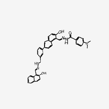 CN(C)c1ccc(C(=O)N/N=C/c2c(O)ccc3cc(-c4cccc(CN/N=C/c5c(O)ccc6ccccc56)c4)ccc23)cc1